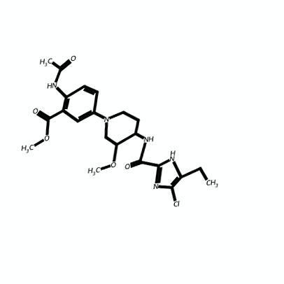 CCc1[nH]c(C(=O)NC2CCN(c3ccc(NC(C)=O)c(C(=O)OC)c3)CC2OC)nc1Cl